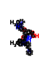 CC1CCCCN1c1nnc2ccc(O[C@@H]3CC[C@H](NC(=O)Nc4cc(C(C)(C)C)nn4-c4cccc(CCN5CCCCC5)c4)c4ccccc43)cn12.O=CO